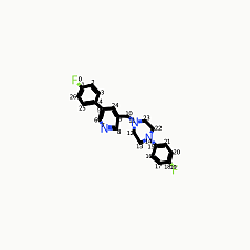 Fc1ccc(-c2cncc(CN3CCN(c4ccc(F)cc4)CC3)c2)cc1